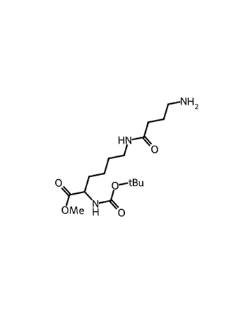 COC(=O)C(CCCCNC(=O)CCCN)NC(=O)OC(C)(C)C